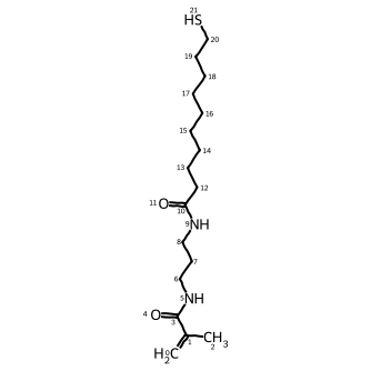 C=C(C)C(=O)NCCCNC(=O)CCCCCCCCCS